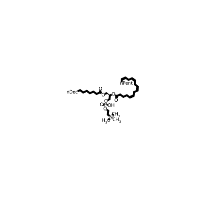 CCCCC/C=C\C/C=C\C/C=C\C/C=C\CCCC(=O)O[C@H](COC(=O)CCCCCCCCCCCCCCCC)COP(=O)(O)OCC[N+](C)(C)C